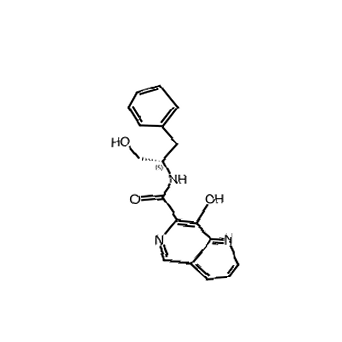 O=C(N[C@H](CO)Cc1ccccc1)c1ncc2cccnc2c1O